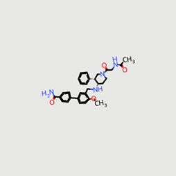 COc1ccc(-c2ccc(C(N)=O)cc2)cc1CN[C@H]1CCN(C(=O)CNC(C)=O)C[C@H]1c1ccccc1